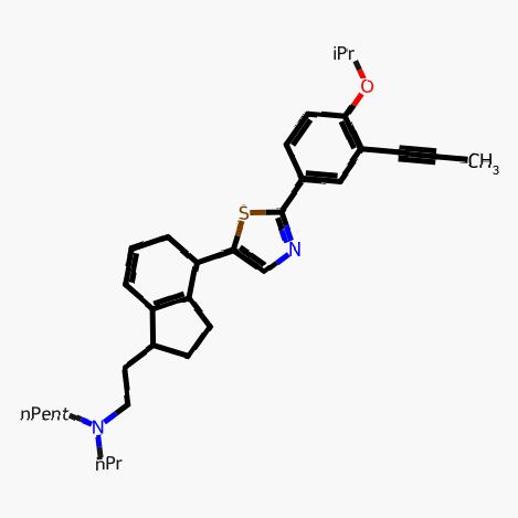 CC#Cc1cc(-c2ncc(C3CC=CC4=C3CCC4CCN(CCC)CCCCC)s2)ccc1OC(C)C